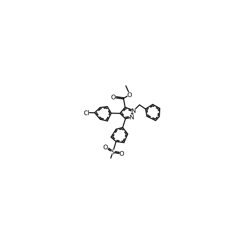 COC(=O)c1c(-c2ccc(Cl)cc2)c(-c2ccc(S(C)(=O)=O)cc2)nn1Cc1ccccc1